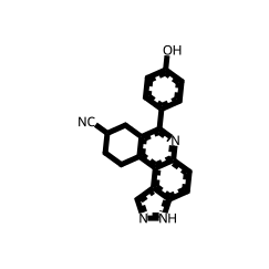 N#CC1CCc2c(c(-c3ccc(O)cc3)nc3ccc4[nH]ncc4c23)C1